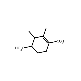 CC1=C(C(=O)O)CCC(C(=O)O)C1C